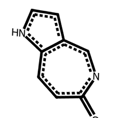 O=c1ccc2[nH]ccc2cn1